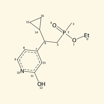 CCOP(C)(=O)CC(c1ccnc(O)c1)C1CC1